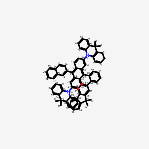 CC1(C)C2=C(C=CCC2)N(c2ccc3c(-c4ccc5ccccc5c4)c4cc(N5c6ccccc6C(C)(C)c6ccccc65)ccc4c(-c4ccccc4-c4ccc5c(c4)C(C)(C)c4ccccc4-5)c3c2)c2ccccc21